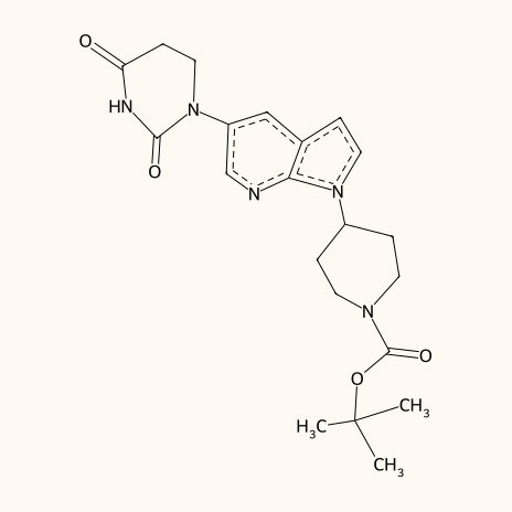 CC(C)(C)OC(=O)N1CCC(n2ccc3cc(N4CCC(=O)NC4=O)cnc32)CC1